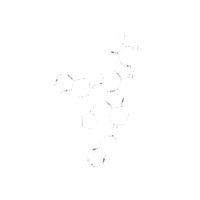 CCCCN(CCCC)C(=O)c1cc(-c2cc3c(cc2C(=O)N2Cc4ccccc4C[C@H]2CN2CCCC2)CN(C(=O)Oc2ccccc2)CC3)n(C)c1C